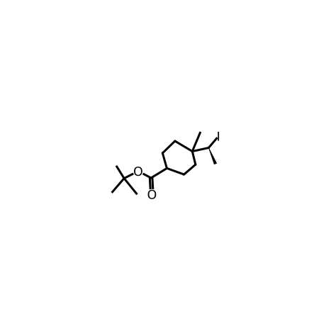 C[C@H](I)C1(C)CCC(C(=O)OC(C)(C)C)CC1